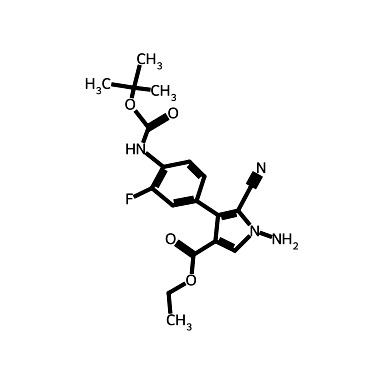 CCOC(=O)c1cn(N)c(C#N)c1-c1ccc(NC(=O)OC(C)(C)C)c(F)c1